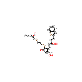 COC(=O)CSCCCSC1C(=O)CC(CO)C1C=CC(O)CCc1cc2ccccc2s1